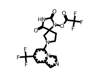 O=C1NC(=O)C2(CCN(c3cc(C(F)(F)F)cc4cncn34)C2)N1OC(=O)C(F)(F)F